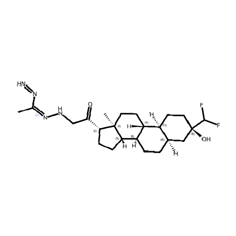 C/C(N=N)=N/NCC(=O)[C@H]1CC[C@H]2[C@@H]3CC[C@@H]4C[C@@](O)(C(F)F)CC[C@@H]4[C@H]3CC[C@]12C